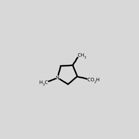 CC1CN(C)CC1C(=O)O